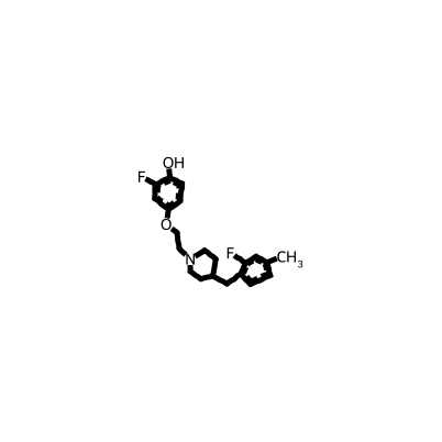 Cc1ccc(CC2CCN(CCOc3ccc(O)c(F)c3)CC2)c(F)c1